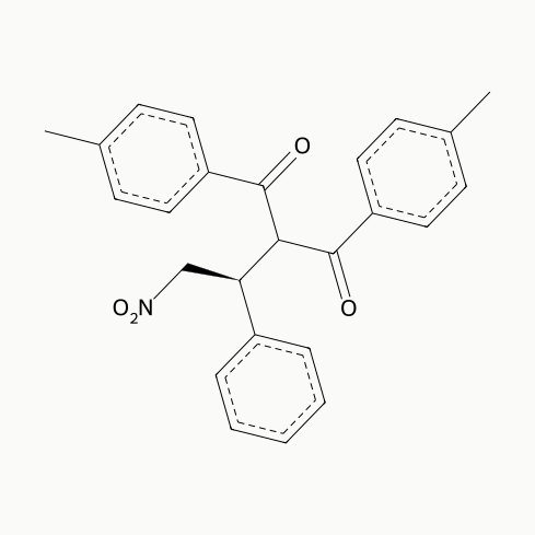 Cc1ccc(C(=O)C(C(=O)c2ccc(C)cc2)[C@H](C[N+](=O)[O-])c2ccccc2)cc1